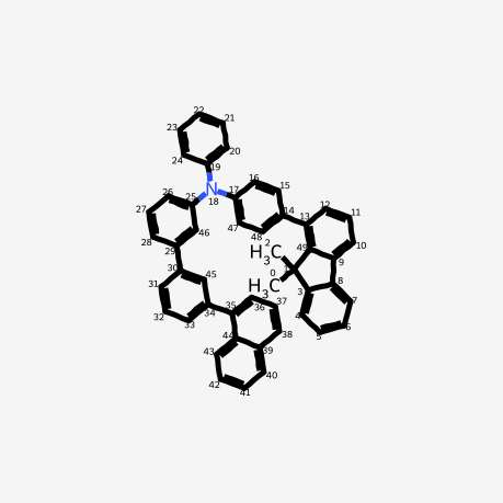 CC1(C)c2ccccc2-c2cccc(-c3ccc(N(c4ccccc4)c4cccc(-c5cccc(-c6cccc7ccccc67)c5)c4)cc3)c21